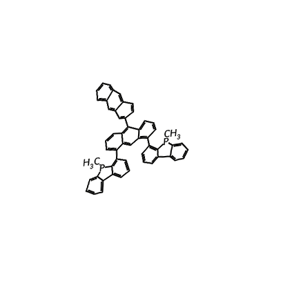 Cp1c2ccccc2c2cccc(-c3cccc4c(-c5ccc6cc7ccccc7cc6c5)c5cccc(-c6cccc7c8ccccc8p(C)c67)c5cc34)c21